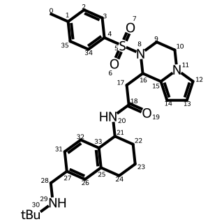 Cc1ccc(S(=O)(=O)N2CCn3cccc3C2CC(=O)NC2CCCc3cc(CNC(C)(C)C)ccc32)cc1